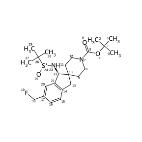 CC(C)(C)OC(=O)N1CCC2(CC1)Cc1ccc(CF)cc1[C@H]2N[S@+]([O-])C(C)(C)C